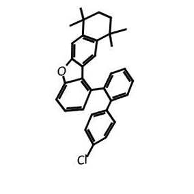 CC1(C)CCC(C)(C)c2cc3c(cc21)oc1cccc(-c2ccccc2-c2ccc(Cl)cc2)c13